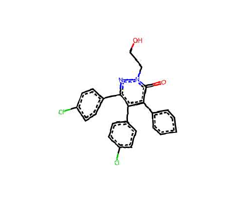 O=c1c(-c2ccccc2)c(-c2ccc(Cl)cc2)c(-c2ccc(Cl)cc2)nn1CCO